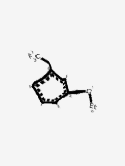 [CH2]COc1cccc(C(F)(F)F)c1